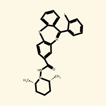 C[C@@H]1CCC[C@H](C)N1NC(=O)c1ccc2c(c1)N=C(c1ccccc1I)c1ccccc1S2